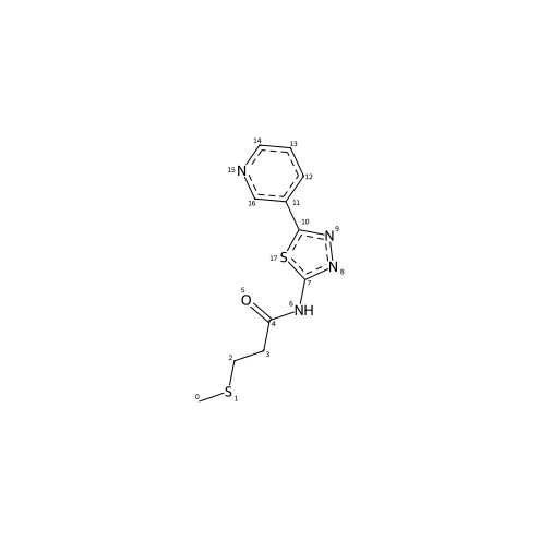 CSCCC(=O)Nc1nnc(-c2cccnc2)s1